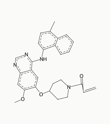 C=CC(=O)N1CCC(Oc2cc3c(Nc4ccc(C)c5ccccc45)ncnc3cc2OC)CC1